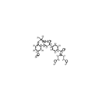 COCCN(CCOC)C(=O)c1ccc(C(=O)/C=C2\NC(C)(C)Cc3ccc(OC)cc32)cc1